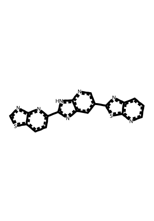 c1cnc2sc(-c3cnc4[nH]c(-c5ccc6scnc6n5)nc4c3)nc2c1